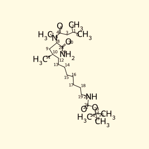 CC(C)CC(=O)N(C)C(C[C@H](C)CCCCCCCCNC(=O)OC(C)(C)C)C(N)=O